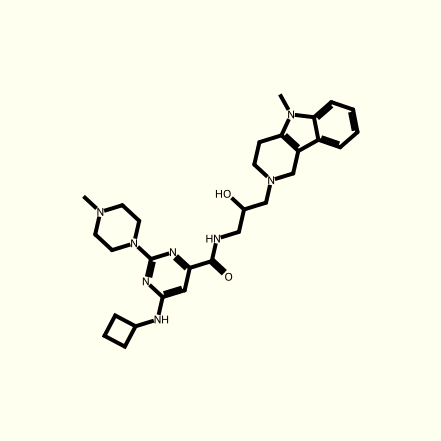 CN1CCN(c2nc(NC3CCC3)cc(C(=O)NCC(O)CN3CCc4c(c5ccccc5n4C)C3)n2)CC1